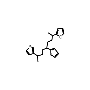 CC(CCC(CCC(C)c1ccco1)c1cccs1)c1ccsc1